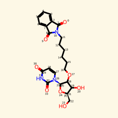 O=C1c2ccccc2C(=O)N1CCCCCCOC1C(O)[C@@H](CO)O[C@H]1n1ccc(=O)[nH]c1=O